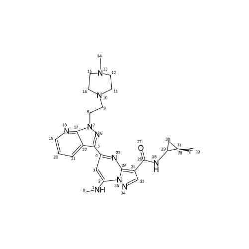 CNc1cc(-c2nn(CCN3CCN(C)CC3)c3ncccc23)nc2c(C(=O)NC3C[C@H]3F)cnn12